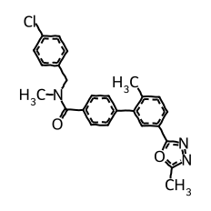 Cc1nnc(-c2ccc(C)c(-c3ccc(C(=O)N(C)Cc4ccc(Cl)cc4)cc3)c2)o1